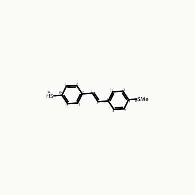 CSc1ccc(C=Cc2ccc(S)cc2)cc1